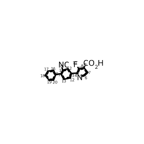 [C-]#[N+]c1cc(-c2nccc(C(=O)O)c2F)ccc1-c1ccccc1